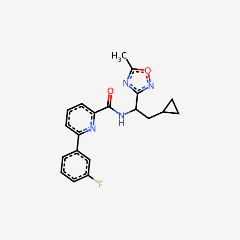 Cc1nc(C(CC2CC2)NC(=O)c2cccc(-c3cccc(F)c3)n2)no1